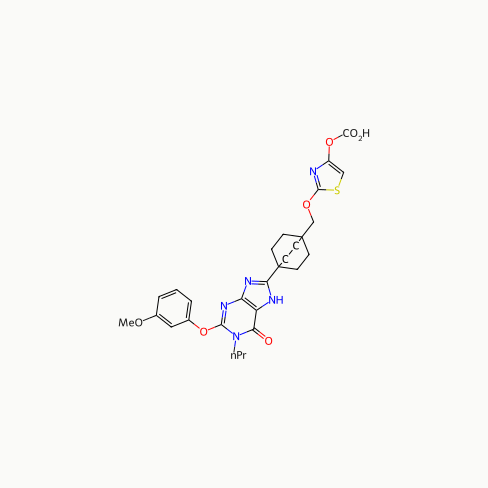 CCCn1c(Oc2cccc(OC)c2)nc2nc(C34CCC(COc5nc(OC(=O)O)cs5)(CC3)CC4)[nH]c2c1=O